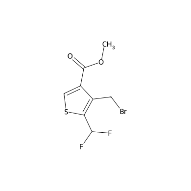 COC(=O)c1csc(C(F)F)c1CBr